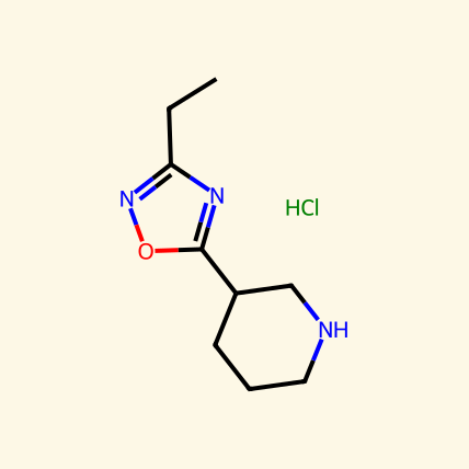 CCc1noc(C2CCCNC2)n1.Cl